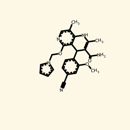 COc1cc(C#N)ccc1C1C(C(N)=O)=C(C)Nc2c(C)cnc(OCn3cccc3)c21